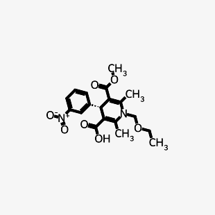 CCOCN1C(C)=C(C(=O)O)[C@H](c2cccc([N+](=O)[O-])c2)C(C(=O)OC)=C1C